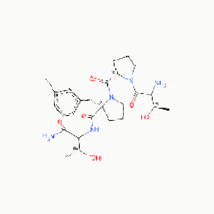 Cc1cccc(C[C@@]2(C(=O)NC(C(N)=O)[C@@H](C)O)CCCN2C(=O)[C@@H]2CCCN2C(=O)C(N)[C@@H](C)O)c1